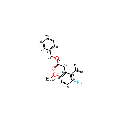 C=C(C)c1c(F)ccc(OCC)c1CC(=O)OCc1ccccc1